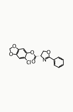 O=C(Oc1cc2c(cc1Cl)OCO2)[C@@H]1COC(c2ccccc2)=N1